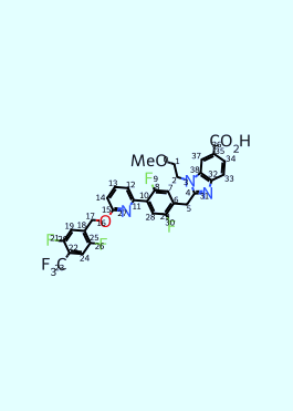 COCCn1c(Cc2cc(F)c(-c3cccc(OCc4cc(F)c(C(F)(F)F)cc4F)n3)cc2F)nc2ccc(C(=O)O)cc21